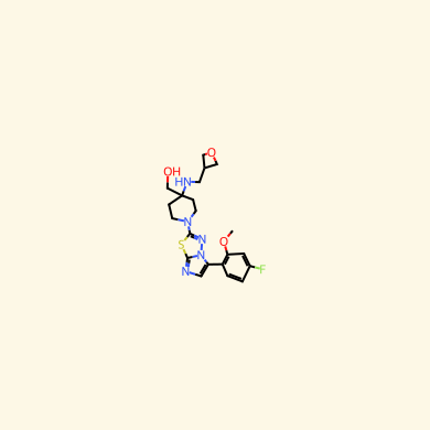 COc1cc(F)ccc1-c1cnc2sc(N3CCC(CO)(NCC4COC4)CC3)nn12